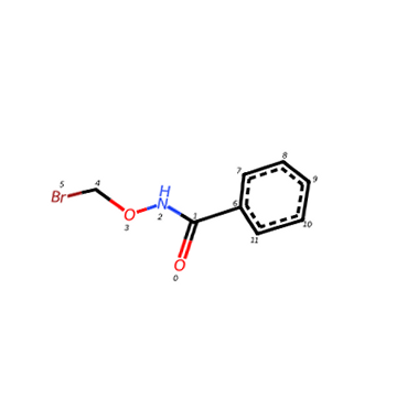 O=C(NOCBr)c1ccccc1